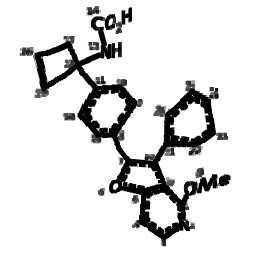 COc1nccc2oc(-c3ccc(C4(NC(=O)O)CCC4)cc3)c(-c3ccccc3)c12